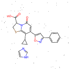 O=C(O)C1CSc2c(C3CC3)c(-c3cc(-c4ccccc4)no3)cc(=O)n21.c1c[nH]cn1